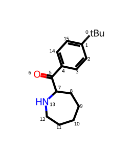 CC(C)(C)c1ccc(C(=O)C2CCCCCN2)cc1